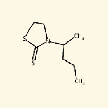 CCCC(C)N1CCSC1=S